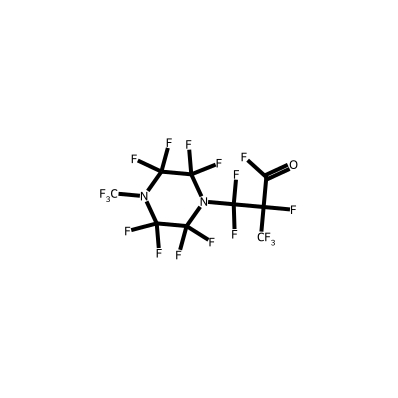 O=C(F)C(F)(C(F)(F)F)C(F)(F)N1C(F)(F)C(F)(F)N(C(F)(F)F)C(F)(F)C1(F)F